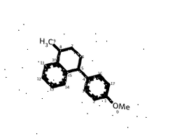 COc1ccc(C2CCC(C)c3ccccc32)cc1